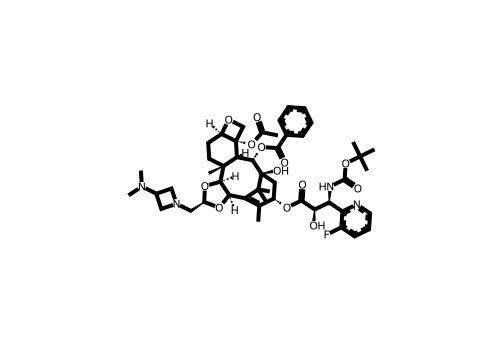 CC(=O)O[C@@]12CO[C@@H]1CC[C@@]1(C)[C@@H]3O[C@H](CN4CC(N(C)C)C4)O[C@@H]3C3=C(C)[C@@H](OC(=O)[C@H](O)[C@@H](NC(=O)OC(C)(C)C)c4ncccc4F)C[C@@](O)([C@@H](OC(=O)c4ccccc4)[C@@H]12)C3(C)C